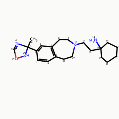 CC1(c2ccc3c(c2)CCN(CCC2(N)CCCCC2)CC3)N=CON1